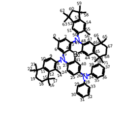 Cc1cc2c3c(c1)N(c1ccc4c(c1C)C(C)(C)CCC4(C)C)c1ccc(N(c4ccccc4)c4ccccc4)cc1B3c1cc3c(cc1N2c1cc2c(cc1C)C(C)(C)CC2(C)C)C(C)(C)CCC3(C)C